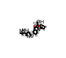 C[C@H](O)C(=O)N1CC2CCC(C1)N2Cc1ccc2cc(Oc3ccc(-c4ccn[nH]4)cn3)ccc2n1